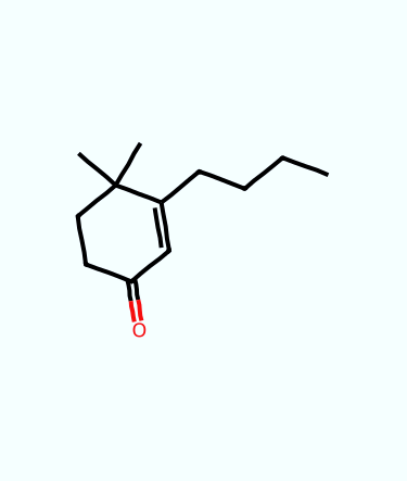 CCCCC1=CC(=O)CCC1(C)C